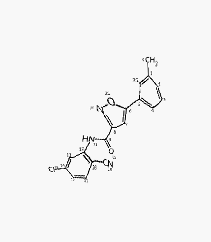 Cc1cccc(-c2cc(C(=O)Nc3cc(Cl)ccc3C#N)no2)c1